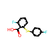 O=C(O)c1c(F)cccc1Sc1ccc(F)cc1